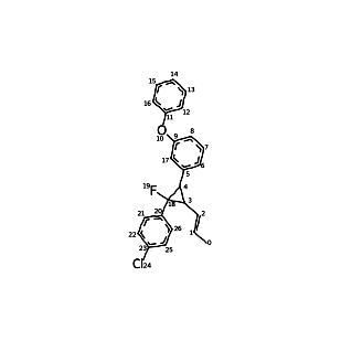 CC=CC1C(c2cccc(Oc3ccccc3)c2)C1(F)c1ccc(Cl)cc1